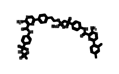 COP(=O)(CS(=O)(=O)c1ccc(NC(=O)c2nc(-c3ccc(C)cc3C)cnc2N)cc1)OCCc1ccc(-c2cnc(N)c(C(=O)Nc3ccc(S(=O)(=O)NS(C)(=O)=O)cc3)n2)cc1